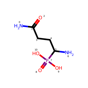 NC(=O)CCC(N)P(=O)(O)O